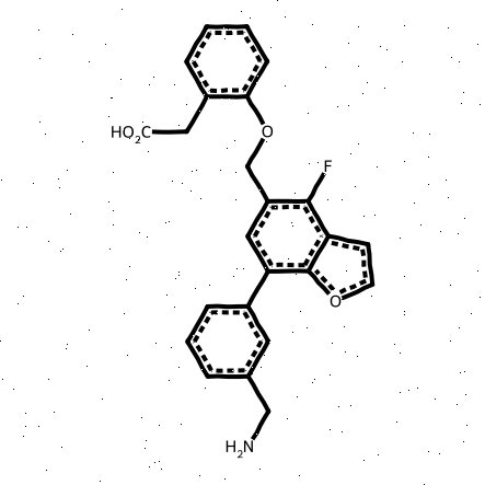 NCc1cccc(-c2cc(COc3ccccc3CC(=O)O)c(F)c3ccoc23)c1